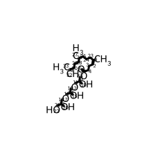 CC(=CCCC(=O)OCC(O)COCC(O)COCC(O)CO)CCCC(C)CCCC(C)C